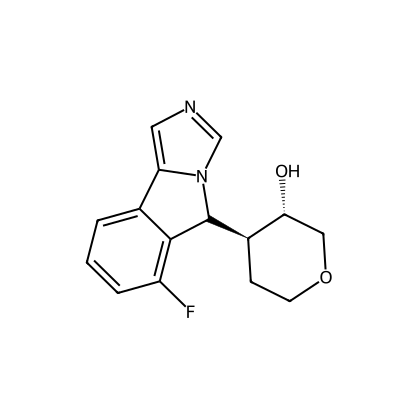 O[C@@H]1COCC[C@H]1C1c2c(F)cccc2-c2cncn21